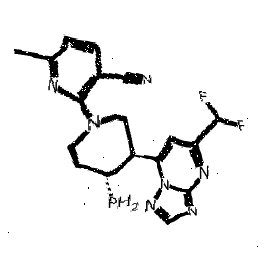 Cc1ccc(C#N)c(N2CC[C@@H](P)[C@H](c3cc(C(F)F)nc4ncnn34)C2)n1